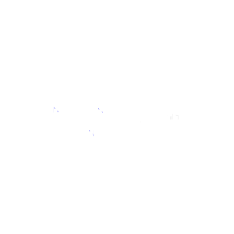 CCCSCn1cncn1